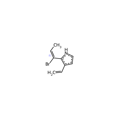 C=Cc1cc[nH]c1/C(Br)=C\C